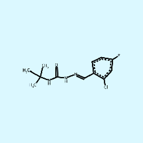 CC(C)(C)NC(=O)N/N=C/c1ccc(F)cc1Cl